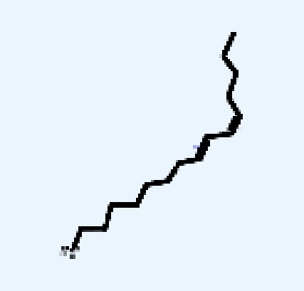 CCCC/C=C\C=C\CCCCCC[CH2][Mg+]